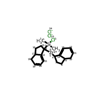 C[Si](C)(Cl)[C]1([Zr+2][CH]2CCC3CC=CC=C32)CCC2CC=CC=C21.[Cl-].[Cl-]